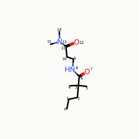 CCCC(C)(C)C(=O)NCCC(=O)N(C)C